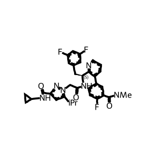 CNC(=O)c1cc(-c2cccnc2[C@H](Cc2cc(F)cc(F)c2)NC(=O)Cn2nc(C(=O)NC3CC3)cc2C(C)C)ccc1F